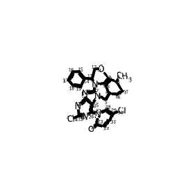 CC1CCC(Cn2c(N3CCOCC3c3ccccc3)nc3nc(Cl)nc(-n4cc(Cl)ccc4=O)c32)CC1